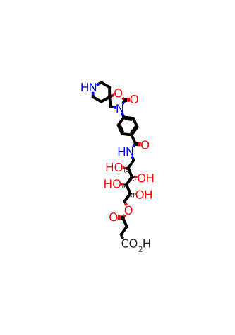 O=C(O)CCC(=O)OC[C@@H](O)[C@@H](O)[C@H](O)[C@@H](O)CNC(=O)c1ccc(N2CC3(CCNCC3)OC2=O)cc1